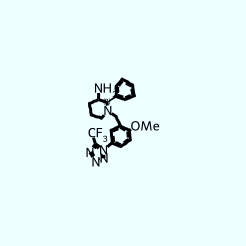 COc1ccc(-n2nnnc2C(F)(F)F)cc1CN1CCCC(N)[C@H]1c1ccccc1